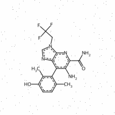 Cc1ccc(O)c(C)c1-c1c(N)c(C(N)=O)nc2c1ncn2CC(F)(F)F